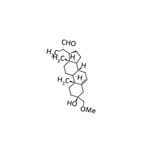 COC[C@]1(O)CC[C@@]2(C)C(=CC[C@H]3[C@@H]4CC[C@H]([C@H](C)C=O)[C@@]4(C)CC[C@@H]32)C1